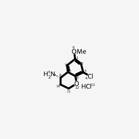 COc1cc(Cl)c2c(c1)[C@@H](N)CCO2.Cl